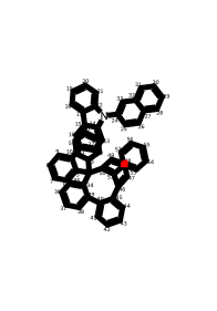 C1=CCC(C2(c3ccccc3-c3ccc4c(c3)c3ccccc3n4-c3ccc4ccccc4c3)c3ccccc3-c3ccccc3-c3cccc2c3-c2ccccc2)C=C1